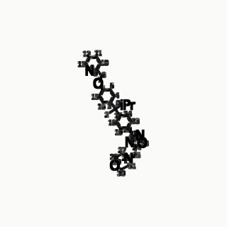 CC(C)C(C)(c1ccc(OCc2ccccn2)cc1)c1ccc(-c2noc(CN3CCOCC3)n2)cc1